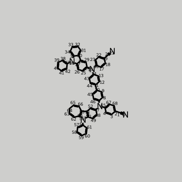 N#Cc1ccc(N(c2ccc(-c3ccc(N(c4ccc(C#N)cc4)c4ccc5c(c4)c4ccccc4n5-c4ccccc4)cc3)cc2)c2ccc3c(c2)c2c(n3-c3ccccc3)C=CCC=C2)cc1